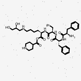 CC(C)C[C@@H](NC(=O)[C@@H](Cc1ccccc1)NC(=O)[C@H](N)Cc1ccccc1)C(=O)N[C@H](CCCCNC[C@H](O)CO)C(=O)OC(=O)C1CCNCC1